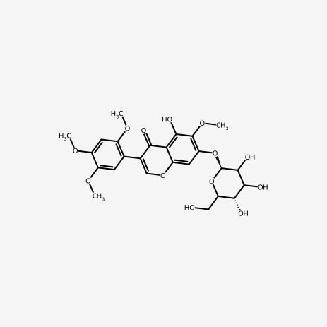 COc1cc(OC)c(-c2coc3cc(O[C@@H]4OC(CO)[C@@H](O)C(O)C4O)c(OC)c(O)c3c2=O)cc1OC